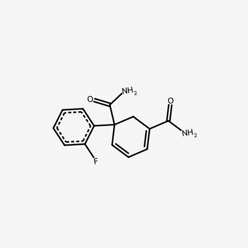 NC(=O)C1=CC=CC(C(N)=O)(c2ccccc2F)C1